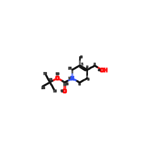 CC1=C(CO)CCN(C(=O)OC(C)(C)C)C1